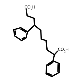 O=C(O)CCC(CCCCC(C(=O)O)c1ccccc1)c1ccccc1